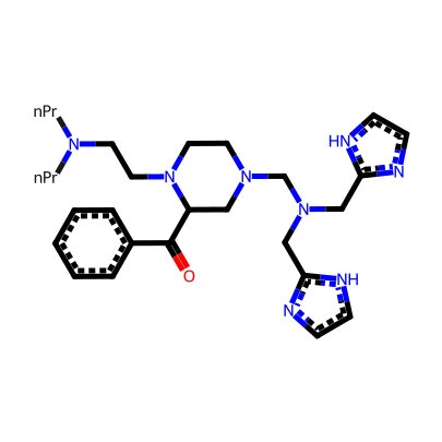 CCCN(CCC)CCN1CCN(CN(Cc2ncc[nH]2)Cc2ncc[nH]2)CC1C(=O)c1ccccc1